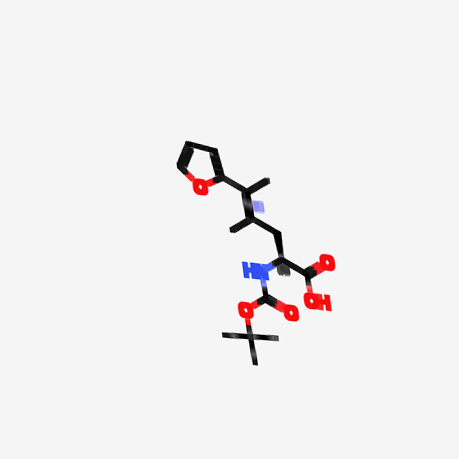 C/C(C[C@H](NC(=O)OC(C)(C)C)C(=O)O)=C(/C)c1ccco1